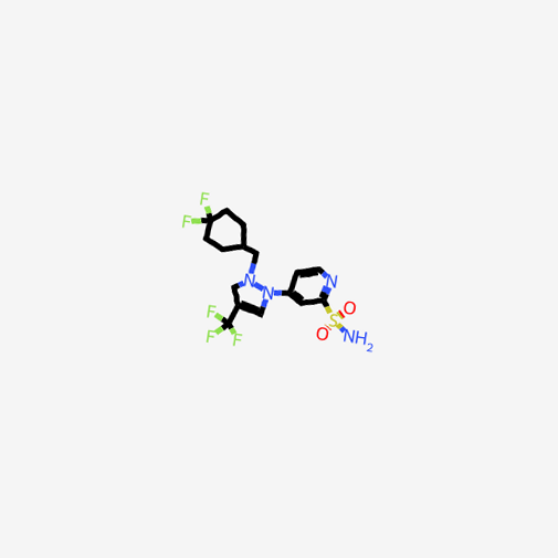 NS(=O)(=O)c1cc(N2C=C(C(F)(F)F)CN2CC2CCC(F)(F)CC2)ccn1